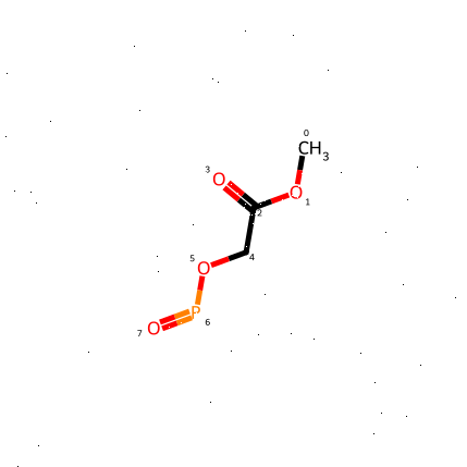 COC(=O)COP=O